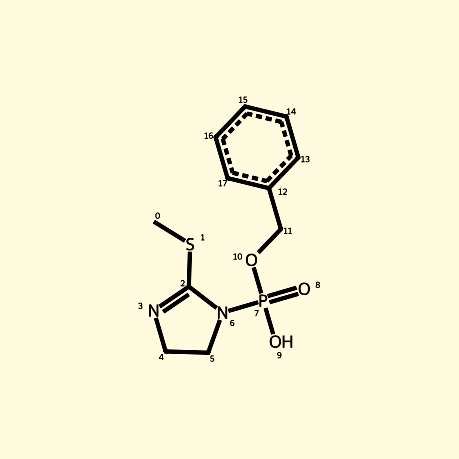 CSC1=NCCN1P(=O)(O)OCc1ccccc1